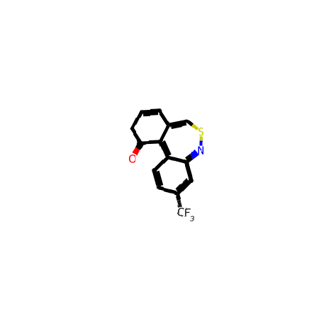 O=C1CC=CC2=CSN=c3cc(C(F)(F)F)ccc3=C12